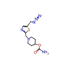 [N-]=[N+]=NCc1cnc(CN2CCC(OC(N)=O)CC2)s1